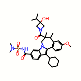 COc1ccc2c(c1)C(C)C(C)(C(=O)N1CC(O)(C(C)C)C1)Cn1c-2c(C2CCCCC2)c2ccc(C(=O)NS(=O)(=O)N(C)C)cc21